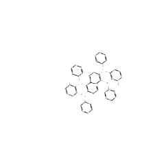 c1ccc(N2c3cccc4c3B(c3ccccc3O4)c3c2ccc2c4c(ccc32)N(c2ccccc2)c2cccc3c2C4c2ccccc2O3)cc1